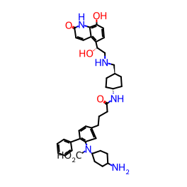 NC1CCC(N(C(=O)O)c2cc(CCCC(=O)N[C@H]3CC[C@H](CNC[C@H](O)c4ccc(O)c5[nH]c(=O)ccc45)CC3)ccc2-c2ccccc2)CC1